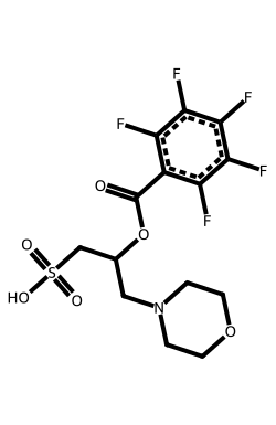 O=C(OC(CN1CCOCC1)CS(=O)(=O)O)c1c(F)c(F)c(F)c(F)c1F